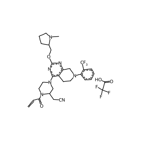 C=CC(=O)N1CCN(c2nc(OCC3CCCN3C)nc3c2CCN(c2ccccc2C(F)(F)F)C3)CC1CC#N.O=C(O)C(F)(F)F